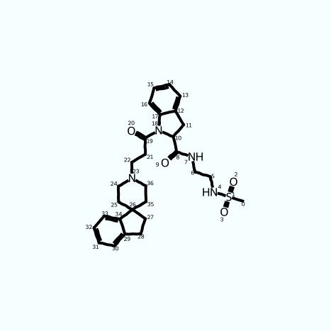 CS(=O)(=O)NCCNC(=O)C1Cc2ccccc2N1C(=O)CCN1CCC2(CCc3ccccc32)CC1